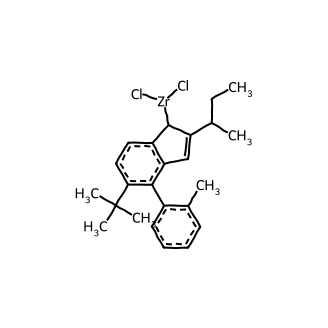 CCC(C)C1=Cc2c(ccc(C(C)(C)C)c2-c2ccccc2C)[CH]1[Zr]([Cl])[Cl]